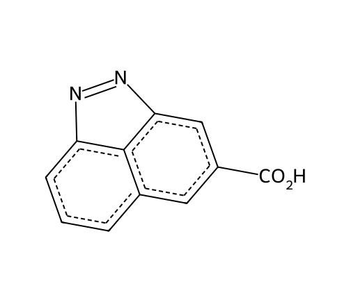 O=C(O)c1cc2c3c(cccc3c1)N=N2